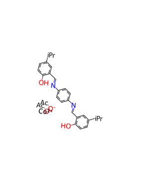 CC(=O)[O-].CC(=O)[O-].CC(C)c1ccc(O)c(C=Nc2ccc(N=Cc3cc(C(C)C)ccc3O)cc2)c1.[Co+2]